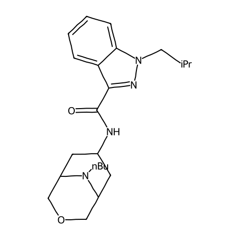 CCCCN1C2COCC1CC(NC(=O)c1nn(CC(C)C)c3ccccc13)C2